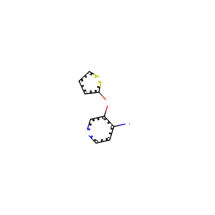 Nc1ccncc1Oc1cccs1